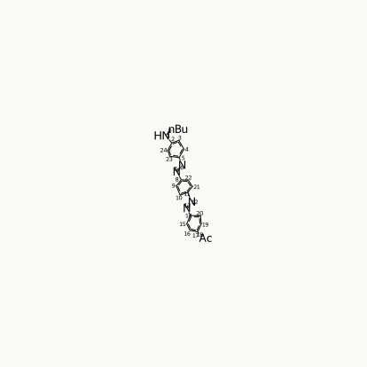 CCCCNc1ccc(N=Nc2ccc(N=Nc3ccc(C(C)=O)cc3)cc2)cc1